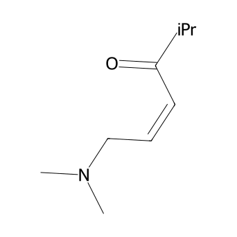 CC(C)C(=O)/C=C\CN(C)C